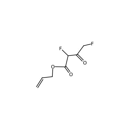 C=CCOC(=O)C(F)C(=O)CF